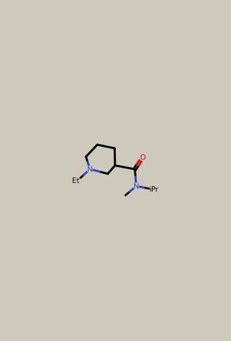 CCN1CCCC(C(=O)N(C)C(C)C)C1